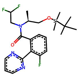 C[C@@H](CO[Si](C)(C)C(C)(C)C)N(CC(F)F)C(=O)c1cccc(F)c1-c1ncccn1